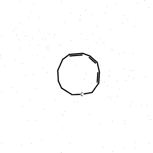 C1=CC=CCCCCCCCC=C1